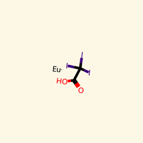 O=C(O)C(I)(I)I.[Eu]